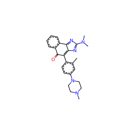 Cc1cc(N2CCN(C)CC2)ccc1C1=C2N=C(N(C)C)N=C2c2ccccc2C1=O